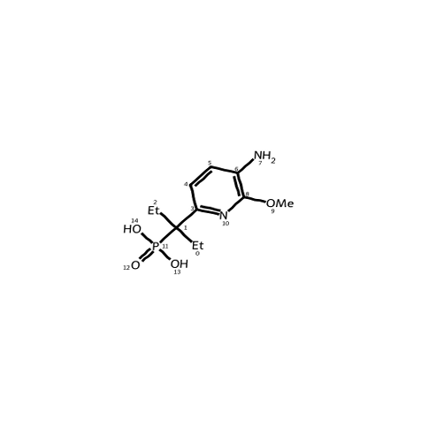 CCC(CC)(c1ccc(N)c(OC)n1)P(=O)(O)O